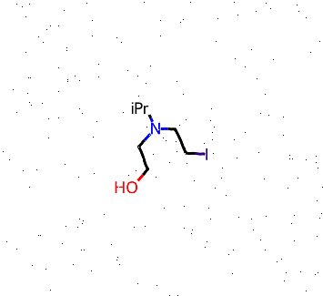 CC(C)N(CCO)CCI